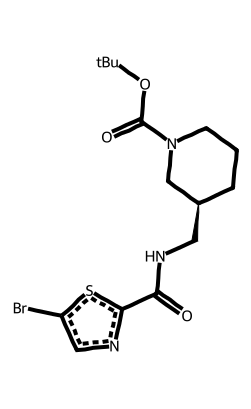 CC(C)(C)OC(=O)N1CCC[C@@H](CNC(=O)c2ncc(Br)s2)C1